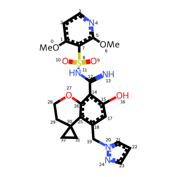 COc1ccnc(OC)c1S(=O)(=O)NC(=N)c1c(O)cc(Cn2cccn2)c2c1OCCC21CC1